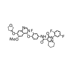 COc1cc2c(Oc3ccc(NC(=O)c4c5n(n(-c6cc(F)ccc6F)c4=O)CCCC5)cc3F)ncnc2cc1O[C@H]1CCOC1